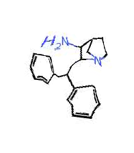 NC1C2CCN(C2)C1C(c1ccccc1)c1ccccc1